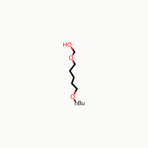 CCCCOCCCCCOCO